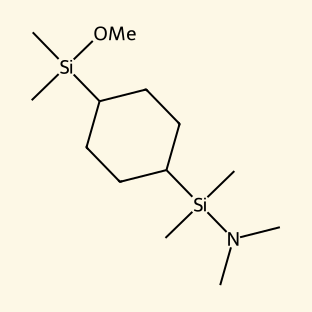 CO[Si](C)(C)C1CCC([Si](C)(C)N(C)C)CC1